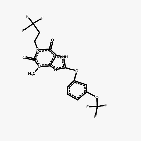 Cn1c(=O)n(CCC(F)(F)F)c(=O)c2[nH]c(Oc3cccc(OC(F)(F)F)c3)nc21